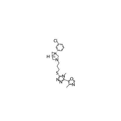 Cc1ncoc1-c1nnc(SCCCN2C[C@H]3C[C@@]3(c3cccc(Cl)c3)C2)n1C